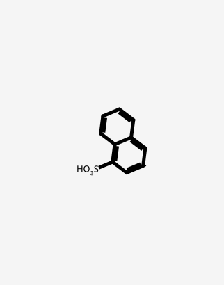 O=S(=O)(O)c1c[c]cc2ccccc12